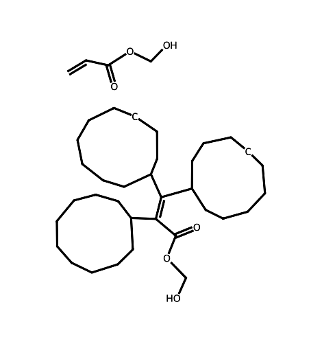 C=CC(=O)OCO.O=C(OCO)C(=C(C1CCCCCCCCC1)C1CCCCCCCCC1)C1CCCCCCCCC1